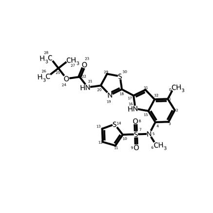 Cc1ccc(N(C)S(=O)(=O)c2cccs2)c2[nH]c(C3=NC(NC(=O)OC(C)(C)C)CS3)cc12